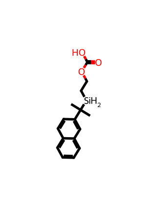 CC(C)([SiH2]CCOC(=O)O)c1ccc2ccccc2c1